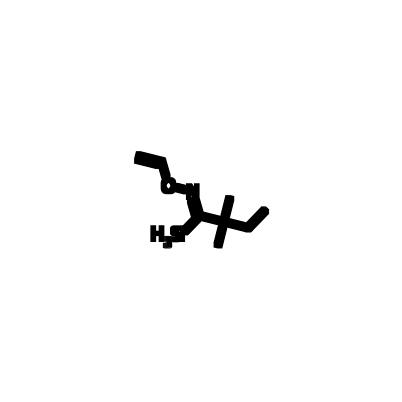 C=CON=C([SiH3])C(C)(C)CC